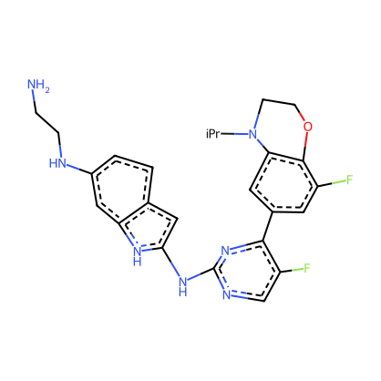 CC(C)N1CCOc2c(F)cc(-c3nc(Nc4cc5ccc(NCCN)cc5[nH]4)ncc3F)cc21